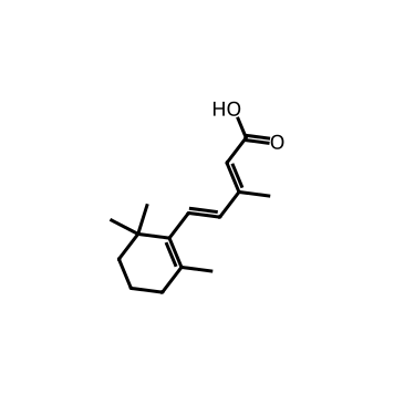 CC(C=CC1=C(C)CCCC1(C)C)=CC(=O)O